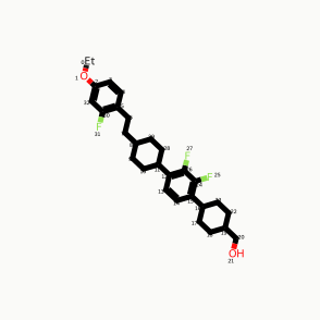 CCOc1ccc(CCC2CCC(c3ccc(C4CCC(CO)CC4)c(F)c3F)CC2)c(F)c1